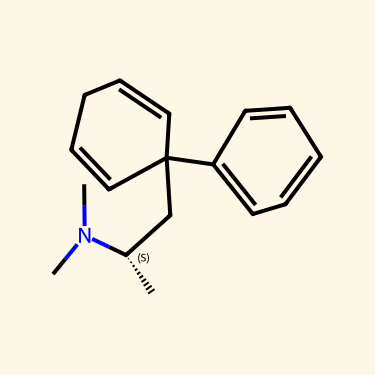 C[C@@H](CC1(c2ccccc2)C=CCC=C1)N(C)C